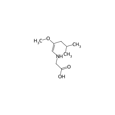 COC(=CNCC(=O)O)CC(C)C